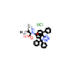 CC(C)[C@H](NCc1ccc(-c2ccccc2)c(-c2nnnn2C(c2ccccc2)(c2ccccc2)c2ccccc2)c1)C(=O)O.Cl